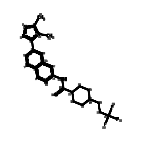 Cc1nnc(-c2cnc3cnc(NC(=O)C4CCN(CCC(F)(F)F)CC4)cc3c2)n1C